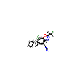 Cc1c(-c2ccccc2)c(F)c2oc(C(C)(C)F)nc2c1C#N